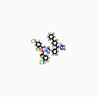 Clc1ccc(C(Cn2ccnc2)OCc2csc3c(Cl)cccc23)c(Cl)c1.c1ccc(-c2ccc(C(c3ccccc3)n3ccnc3)cc2)cc1